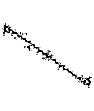 Cc1cc(=O)nc(NC(=O)NCCCCCCNC(=O)OCCNC(=O)[C@@H](O)[C@H](O)CCC(=O)NCCN(CCCC[C@@H](O)[C@H](O)NC(=O)Nc2nc(=O)cc(C)[nH]2)C(=O)O)[nH]1